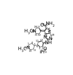 CC(C)Oc1cc(C2CCN(C)CC2)ccc1Nc1ncc2sc(C(N)=O)c(C3=CCN(C)CC3)c2n1